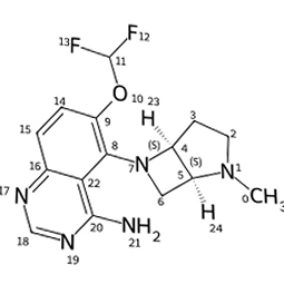 CN1CC[C@H]2[C@@H]1CN2c1c(OC(F)F)ccc2ncnc(N)c12